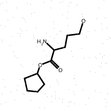 NC(CCC[O])C(=O)OC1CCCC1